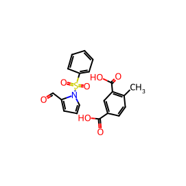 Cc1ccc(C(=O)O)cc1C(=O)O.O=Cc1cccn1S(=O)(=O)c1ccccc1